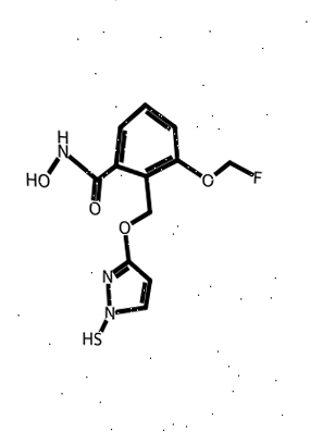 O=C(NO)c1cccc(OCF)c1COc1ccn(S)n1